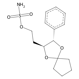 NS(=O)(=O)OCC[C@@H]1OC2(CCCC2)O[C@H]1c1ccccc1